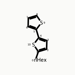 CCCCCCc1ccc(-c2cc[c]s2)s1